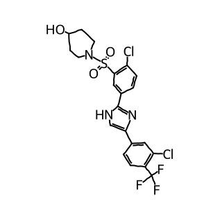 O=S(=O)(c1cc(-c2nc(-c3ccc(C(F)(F)F)c(Cl)c3)c[nH]2)ccc1Cl)N1CCC(O)CC1